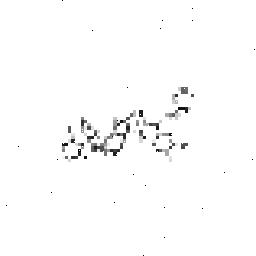 BC(B)(Oc1cccn2c(C(=O)NC(CNC(=O)OC(C)(C)C)c3ccc(F)c(F)c3)c(C)nc12)c1c(F)cccc1F